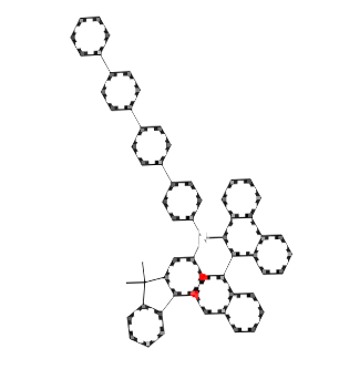 CC1(C)c2ccccc2-c2ccc(N(c3ccc(-c4ccc(-c5ccc(-c6ccccc6)cc5)cc4)cc3)c3c(-c4cccc5ccccc45)c4ccccc4c4ccccc34)cc21